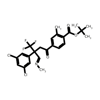 CN=CC(CC(=O)c1ccc(C(=O)OC(C)(C)C)c(C)c1)(c1cc(Cl)cc(Cl)c1)C(F)(F)F